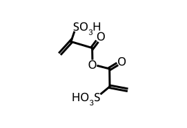 C=C(C(=O)OC(=O)C(=C)S(=O)(=O)O)S(=O)(=O)O